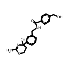 CC1(c2cccc(CNC(=O)c3ccc(CO)cc3)c2)CCSC(N)=N1